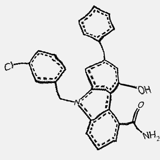 NC(=O)c1cccc2c1c1c(O)cc(-c3ccccc3)cc1n2Cc1cccc(Cl)c1